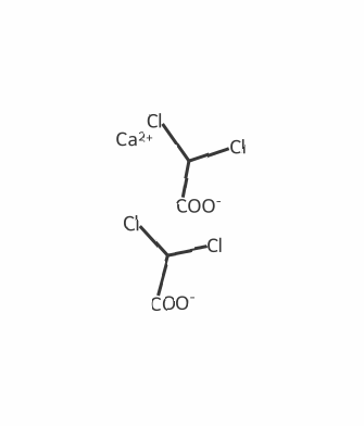 O=C([O-])C(Cl)Cl.O=C([O-])C(Cl)Cl.[Ca+2]